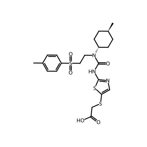 Cc1ccc(S(=O)(=O)CCN(C(=O)Nc2ncc(SCC(=O)O)s2)[C@H]2CC[C@H](C)CC2)cc1